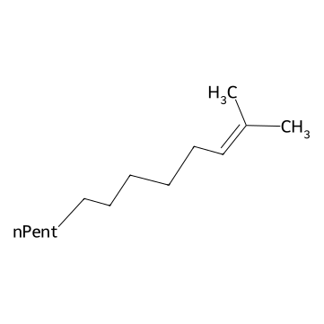 CCCCCCCCCCC=C(C)C